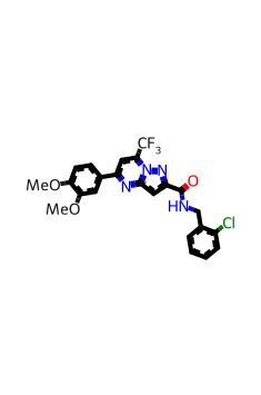 COc1ccc(-c2cc(C(F)(F)F)n3nc(C(=O)NCc4ccccc4Cl)cc3n2)cc1OC